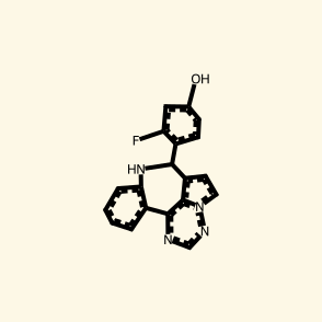 Oc1ccc(C2Nc3ccccc3-c3ncnn4ccc2c34)c(F)c1